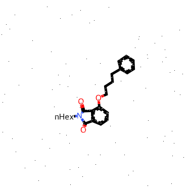 CCCCCCN1C(=O)c2cccc(OCCCCc3ccccc3)c2C1=O